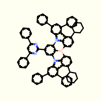 c1ccc(-c2cc(-c3ccccc3)c3c4c(C5CCCCC5)ccc5c4n(c3c2)-c2cc(-c3nc(-c4ccccc4)cc(-c4ccccc4)n3)cc3c2B5c2ccc(C4CCCCC4)c4c5c(-c6ccccc6)cc(-c6ccccc6)cc5n-3c24)cc1